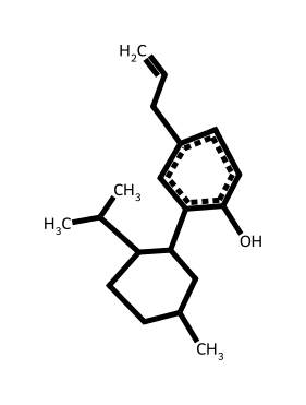 C=CCc1ccc(O)c(C2CC(C)CCC2C(C)C)c1